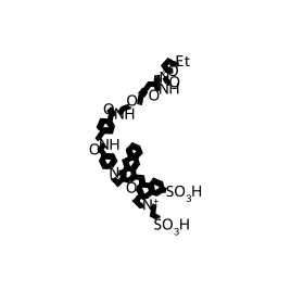 CC[C@@H]1CC[C@H](n2cc(CC#CCOCCNC(=O)c3ccc(CNC(=O)c4ccc(N5CCc6c7c(c8cc9ccccc9cc8c65)C=c5c(c6c(c8cc(S(=O)(=O)O)ccc58)=[N+](CCCS(=O)(=O)O)CC6)O7)cc4)cc3)c(=O)[nH]c2=O)O1